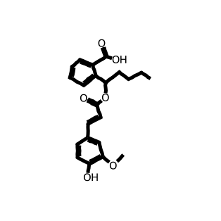 CCCCC(OC(=O)/C=C/c1ccc(O)c(OC)c1)c1ccccc1C(=O)O